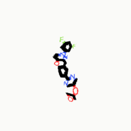 O=c1ccn(-c2cc(F)cc(F)c2)nc1Cc1cccc(-c2ncc(OC3COC3)cn2)c1